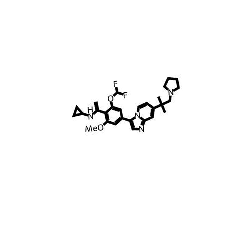 C=C(NC1CC1)c1c(OC)cc(-c2cnc3cc(C(C)(C)CN4CCCC4)ccn23)cc1OC(F)F